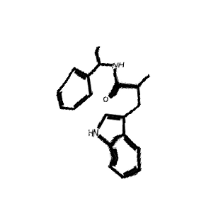 C[C](Cc1c[nH]c2ccccc12)C(=O)NC(C)c1ccccc1